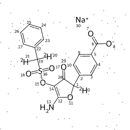 [2H]C1(c2ccc(C(=O)[O-])cc2)OC(N)=C(OS(=O)(=O)C([2H])([2H])c2ccccc2)C1=O.[Na+]